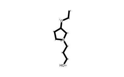 CCOC1CCN(CCCO)C1